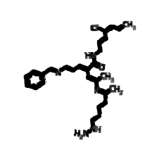 C=C/C=C(Cl)\C=C\CNC(=O)C(/C=C(C)/N=C(\C)CCCCNN)=C/C=C/N=C/c1ccccc1